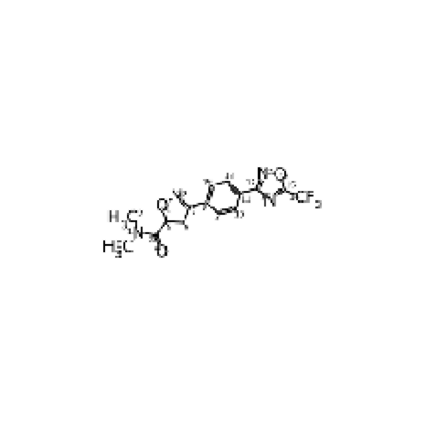 CN(C)C(=O)C1CC(c2ccc(-c3noc(C(F)(F)F)n3)cc2)=NO1